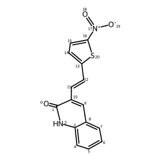 O=c1[nH]c2ccccc2cc1C=Cc1ccc([N+](=O)[O-])s1